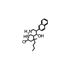 CCCCC1(C)CC(Cl)NCC1[C@H](O)C(CN)c1ccc2ccccc2c1